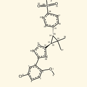 COc1ccc(Cl)cc1-c1noc([C@H]2[C@H](c3ccc(S(N)(=O)=O)nc3)C2(C)C)n1